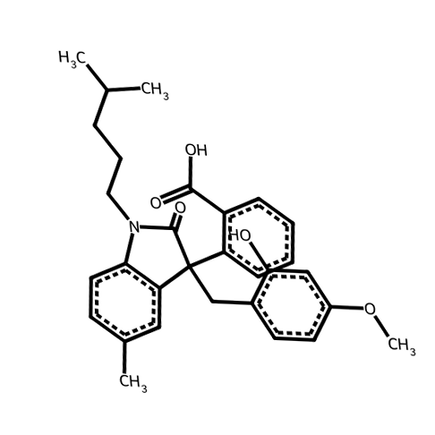 COc1ccc(CC2(c3ccccc3C(=O)O)C(=O)N(CCCC(C)C)c3ccc(C)cc32)c(O)c1